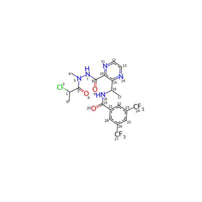 CC(Cl)C(=O)N(C)NC(=O)c1nccnc1C(C)NC(=O)c1cc(C(F)(F)F)cc(C(F)(F)F)c1